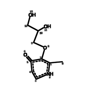 Cc1[nH]ccc(=O)c1OCC(O)CO